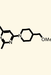 COCC1CCN(c2cc(C)nc(C)n2)CC1